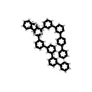 c1ccc(-c2ccc(-c3cccc(-c4cccc(-c5nc(-c6cccc(-c7cccc(-c8cccc(-c9ccccc9)c8)c7)c6)nc6c5sc5ccccc56)c4)c3)cc2)cc1